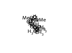 COc1cccc(OC)c1NC(=O)C1OC(Oc2cc3c(cc2C)[Si](C)(C)C[Si]3(C)C)=CC1=O